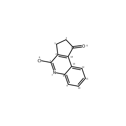 O=C1CCc2c(Cl)nc3ccccc3c21